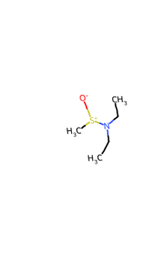 CCN(CC)[S+](C)[O-]